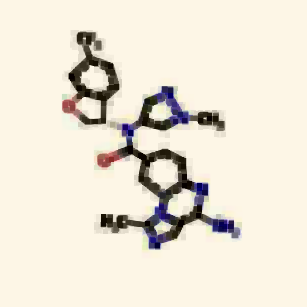 Cc1ncc2c(N)nc3ccc(C(=O)N(c4cnn(C)c4)[C@@H]4COc5cc(C(F)(F)F)ccc54)cc3n12